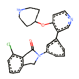 O=C1c2c(Cl)cccc2CN1c1cccc(-c2cnccc2OC2CCNCC2)c1